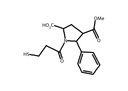 COC(=O)C1CC(C(=O)O)N(C(=O)CCS)C1c1ccccc1